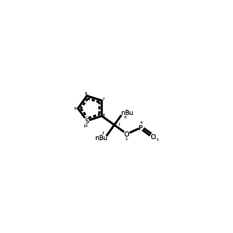 CCCCC(CCCC)(OP=O)c1cccs1